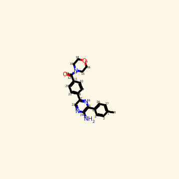 Cc1ccc(-c2nc(-c3ccc(C(=O)N4CCOCC4)cc3)cnc2N)cc1